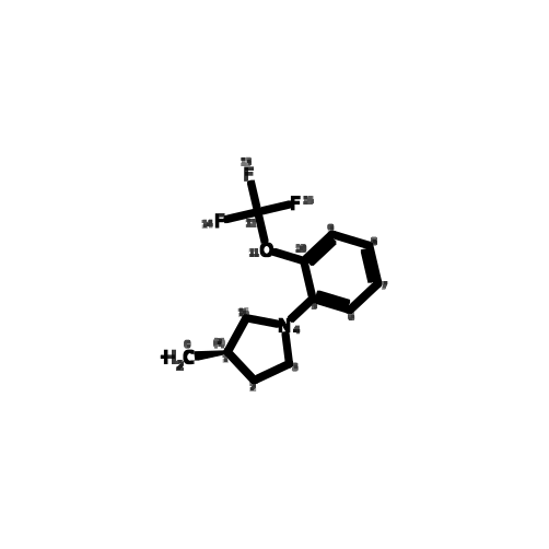 [CH2][C@@H]1CCN(c2ccccc2OC(F)(F)F)C1